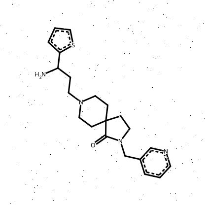 NC(CCN1CCC2(CC1)CCN(Cc1cccnc1)C2=O)c1cccs1